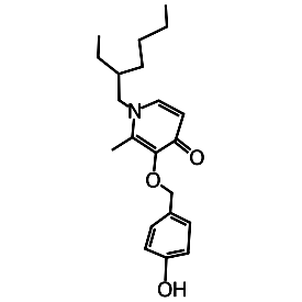 CCCCC(CC)Cn1ccc(=O)c(OCc2ccc(O)cc2)c1C